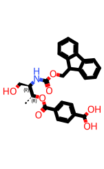 C[C@@H](OC(=O)c1ccc(C(O)O)cc1)[C@@H](CO)NC(=O)OCC1c2ccccc2-c2ccccc21